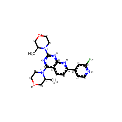 C[C@H]1COCCN1c1nc(N2CCOC[C@@H]2C)c2ccc(-c3ccnc(F)c3)nc2n1